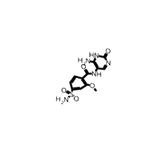 COc1cc(S(N)(=O)=O)ccc1C(=O)Nc1cnc(=O)[nH]c1N